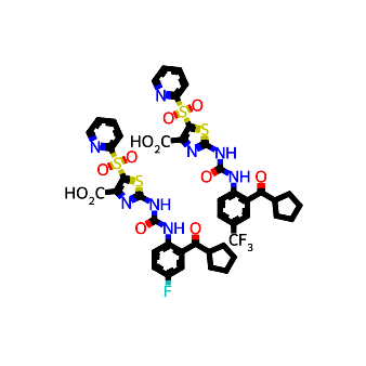 O=C(Nc1nc(C(=O)O)c(S(=O)(=O)c2ccccn2)s1)Nc1ccc(C(F)(F)F)cc1C(=O)C1CCCC1.O=C(Nc1nc(C(=O)O)c(S(=O)(=O)c2ccccn2)s1)Nc1ccc(F)cc1C(=O)C1CCCC1